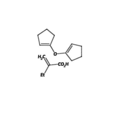 C1=C(OC2=CCCC2)CCC1.C=C(CC)C(=O)O